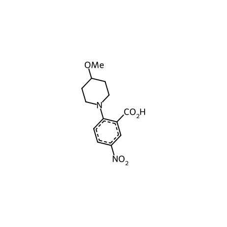 COC1CCN(c2ccc([N+](=O)[O-])cc2C(=O)O)CC1